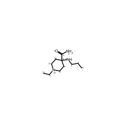 CCCNC1(C(N)=O)CCN(CC)CC1